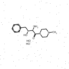 CN1CCN(C(=O)[C@H](N)[C@@H](O)Cc2ccccc2)CC1.Cl.Cl